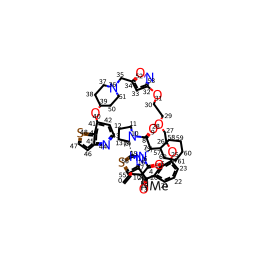 C=C[C@H](NC)C(=O)N[C@H](C(=O)N1CCC[C@H]1c1nc(C(=O)c2cccc(OCCOCCOc3cc(CN4CCC(Oc5ccnc6ccsc56)CC4)on3)c2)cs1)C1CCCCC1